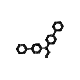 O=[C]N(c1ccc(-c2ccccc2)cc1)c1ccc(-c2ccccc2)cc1